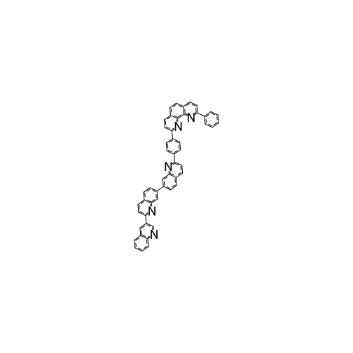 c1ccc(-c2ccc3ccc4ccc(-c5ccc(-c6ccc7ccc(-c8ccc9ccc(-c%10cnc%11ccccc%11c%10)nc9c8)cc7n6)cc5)nc4c3n2)cc1